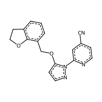 N#Cc1ccnc(-n2nccc2OCc2cccc3c2OCC3)c1